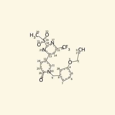 C#CCOc1cccc(Cn2cc(-c3cc(C(F)(F)F)nc(S(C)(=O)=O)n3)ccc2=O)c1